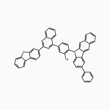 N#Cc1cc(-c2nc(-c3ccc4c(c3)sc3ccccc34)nc3ccccc23)ccc1-n1c2ccc(-c3ccccc3)cc2c2cc3ccccc3cc21